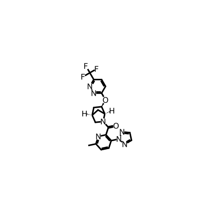 Cc1ccc(-n2nccn2)c(C(=O)N2C[C@H]3C[C@@H](Oc4ccc(C(F)(F)F)nn4)[C@@H]2C3)n1